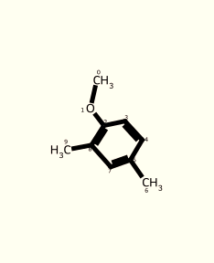 COc1[c]cc(C)cc1C